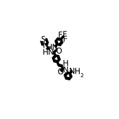 Nc1ccccc1NC(=O)/C=C/c1ccc(C(NCCN2CCSCC2)C(=O)Nc2ccc(C(F)(F)F)cc2)cc1